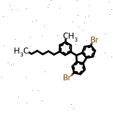 CCCCCCc1cc(C)cc(C2c3cc(Br)ccc3-c3ccc(Br)cc32)c1